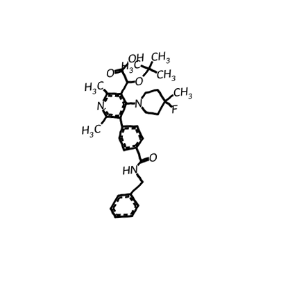 Cc1nc(C)c(C(OC(C)(C)C)C(=O)O)c(N2CCC(C)(F)CC2)c1-c1ccc(C(=O)NCc2ccccc2)cc1